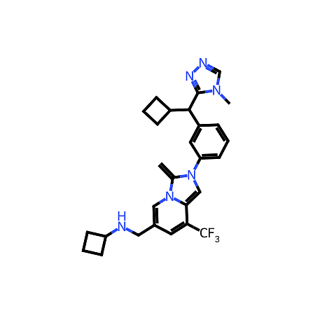 C=C1N2C=C(CNC3CCC3)C=C(C(F)(F)F)C2=CN1c1cccc(C(c2nncn2C)C2CCC2)c1